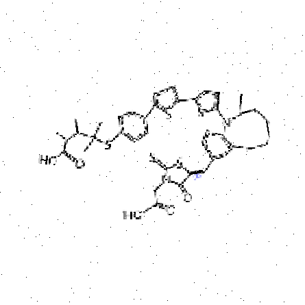 CC(C(=O)O)C(C)C(C)(C)Sc1ccc(-c2ccc(-c3ccc(N4c5ccc(/C=C6\SC(=S)N(CC(=O)O)C6=O)cc5CCCCC4C)s3)s2)cc1